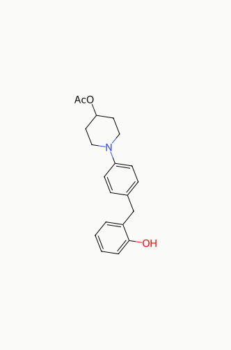 CC(=O)OC1CCN(c2ccc(Cc3ccccc3O)cc2)CC1